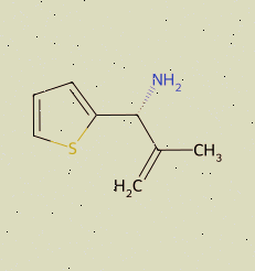 C=C(C)[C@@H](N)c1cccs1